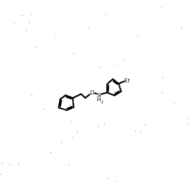 CCc1ccc([SiH2]OCCc2ccccc2)cc1